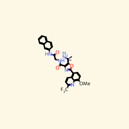 COc1ccc(-c2nc(C(=O)NCC(=O)Nc3ccc4ccccc4c3)c([C@H](C)N)o2)c2ccc(C(F)(F)F)nc12